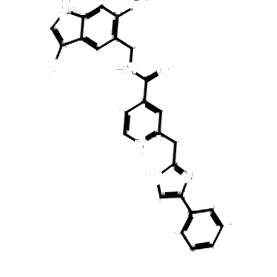 O=C(NCc1cc2c(Cl)c[nH]c2cc1F)c1ccnc(Cc2nc(-c3ccccc3)cs2)c1